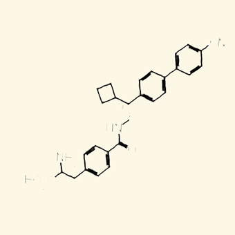 N#Cc1ccc(-c2ccc([C@H](CNC(=O)c3ccc(CC(N)C(=O)O)cc3)C3CCC3)cc2)cc1